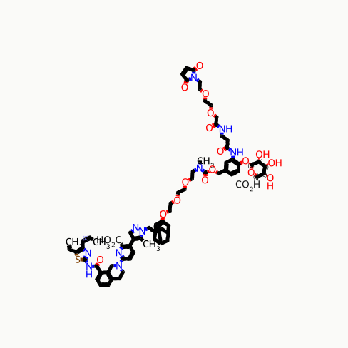 C=Cc1sc(NC(=O)c2cccc3c2CN(c2ccc(-c4cnn(CC56CC7CC(C5)CC(OCCOCCOCCN(C)C(=O)OCc5ccc(O[C@@H]8O[C@H](C(=O)O)[C@@H](O)[C@H](O)[C@H]8O)c(NC(=O)CCNC(=O)COCCOCCN8C(=O)C=CC8=O)c5)(C7)C6)c4C)c(C(=O)O)n2)CC3)nc1/C=C\C